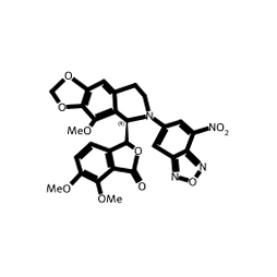 COc1ccc2c(c1OC)C(=O)OC2[C@H]1c2c(cc3c(c2OC)OCO3)CCN1c1cc([N+](=O)[O-])c2nonc2c1